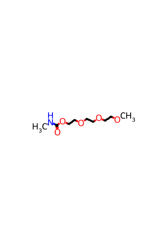 CNC(=O)OCCOCCOCCOC